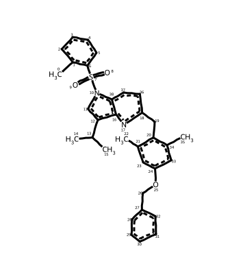 Cc1ccccc1S(=O)(=O)n1cc(C(C)C)c2nc(Cc3c(C)cc(OCc4ccccc4)cc3C)ccc21